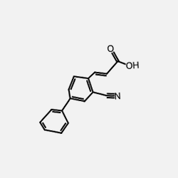 N#Cc1cc(-c2ccccc2)ccc1C=CC(=O)O